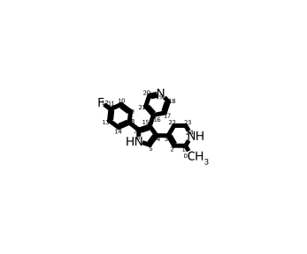 CC1C=C(c2c[nH]c(-c3ccc(F)cc3)c2-c2ccncc2)CCN1